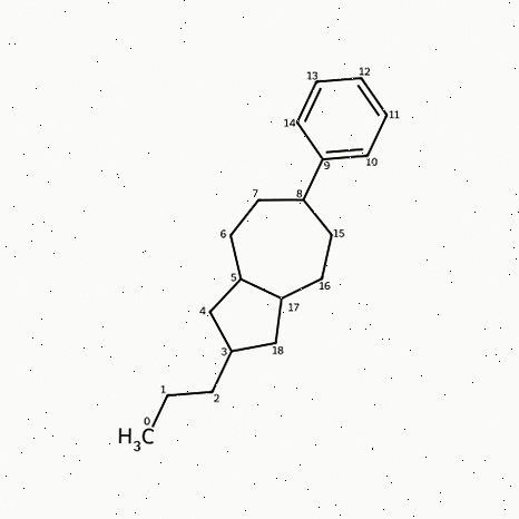 CCCC1CC2CCC(c3ccccc3)CCC2C1